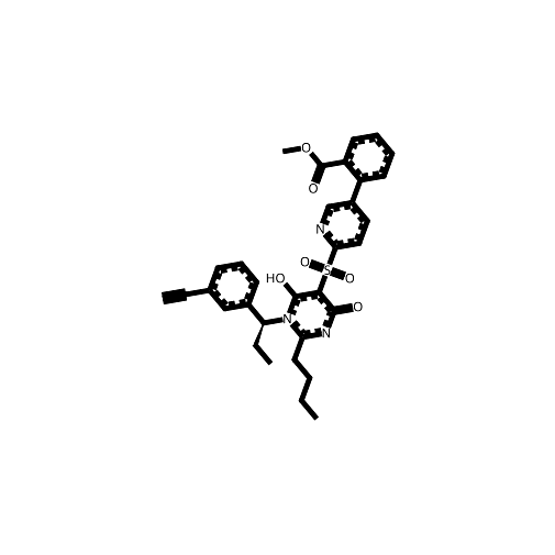 C#Cc1cccc([C@H](CC)n2c(CCCC)nc(=O)c(S(=O)(=O)c3ccc(-c4ccccc4C(=O)OC)cn3)c2O)c1